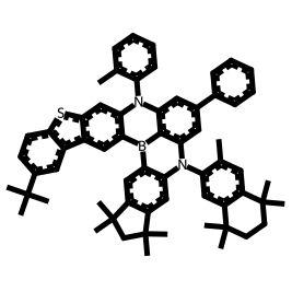 Cc1ccccc1N1c2cc3sc4ccc(C(C)(C)C)cc4c3cc2B2c3cc4c(cc3N(c3cc5c(cc3C)C(C)(C)CCC5(C)C)c3cc(-c5ccccc5)cc1c32)C(C)(C)CC4(C)C